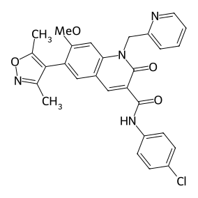 COc1cc2c(cc1-c1c(C)noc1C)cc(C(=O)Nc1ccc(Cl)cc1)c(=O)n2Cc1ccccn1